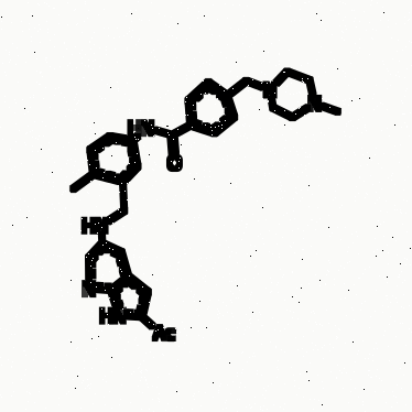 CC(=O)c1cc2cc(NCc3cc(NC(=O)c4ccc(CN5CCN(C)CC5)cc4)ccc3C)cnc2[nH]1